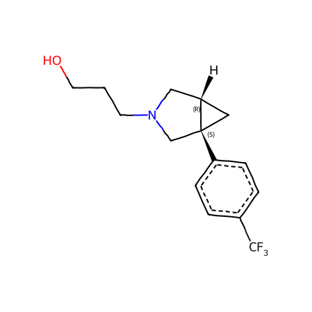 OCCCN1C[C@@H]2C[C@]2(c2ccc(C(F)(F)F)cc2)C1